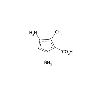 Cn1c(N)cc(N)c1C(=O)O